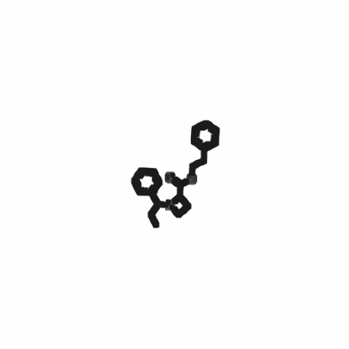 CCC(c1ccccc1)N1CCC1C(=O)OCCc1ccccc1